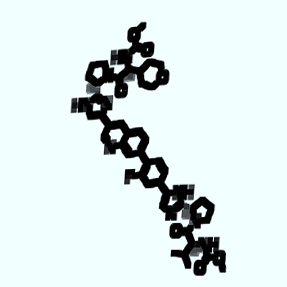 COC(=O)N[C@H](C(=O)N1CCC[C@H]1c1ncc(-c2ccc(-c3ccc4cc(-c5c[nH]c([C@@H]6CCCN6C(=O)[C@@H](NC(=O)OC)C6CCOCC6)n5)cnc4c3)c(F)c2)[nH]1)C(C)C